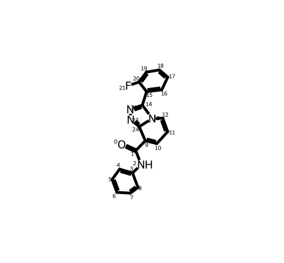 O=C(Nc1ccccc1)c1cccn2c(-c3ccccc3F)nnc12